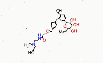 C#CCN(C)CCNC(=O)CCOCc1ccc(Cc2cc([C@@H]3O[C@H](SC)[C@@H](O)[C@H](O)[C@H]3O)ccc2C#C)cc1